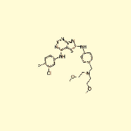 COCCN(CCOC)Cc1ccc(Nc2nc3ncnc(Nc4ccc(F)c(Cl)c4)c3s2)cc1